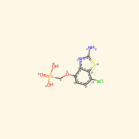 Nc1nc2c(OCP(=O)(O)O)ccc(Cl)c2s1